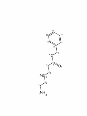 NCCNCCC(=O)OCc1ccccc1